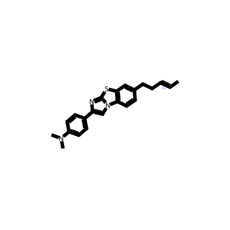 C/C=C/CCc1ccc2c(c1)sc1nc(-c3ccc(N(C)C)cc3)cn12